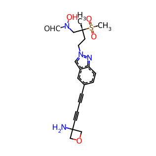 C[C@@](CCn1cc2cc(C#CC#CC3(N)COC3)ccc2n1)(CN(O)C=O)S(C)(=O)=O